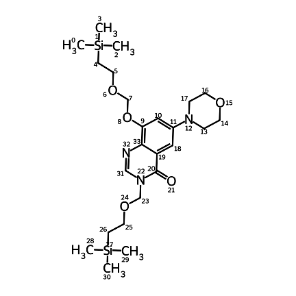 C[Si](C)(C)CCOCOc1cc(N2CCOCC2)cc2c(=O)n(COCC[Si](C)(C)C)cnc12